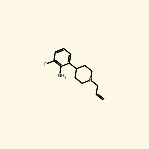 C=CCN1CCC(c2cccc(F)c2N)CC1